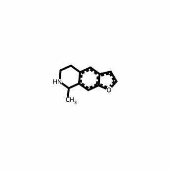 CC1NCCc2cc3ccoc3cc21